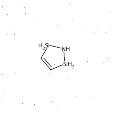 C1=C[SiH2]N[SiH2]1